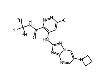 [2H]C([2H])([2H])NC(=O)c1nnc(Cl)cc1Nc1nc2ncc(N3CCC3)cn2n1